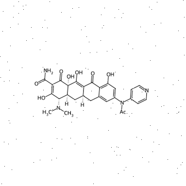 CC(=O)N(c1ccncc1)c1cc(O)c2c(c1)C[C@H]1C[C@H]3[C@H](N(C)C)C(O)=C(C(N)=O)C(=O)[C@@]3(O)C(O)=C1C2=O